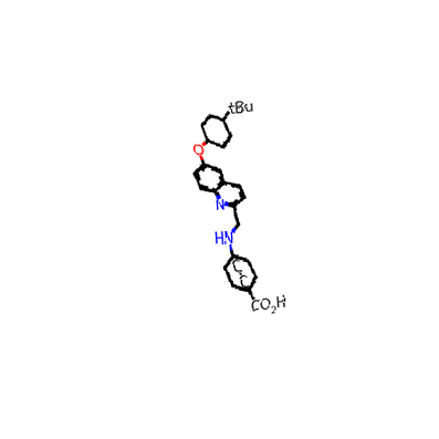 CC(C)(C)C1CCC(Oc2ccc3nc(CNC45CCC(C(=O)O)(CC4)CC5)ccc3c2)CC1